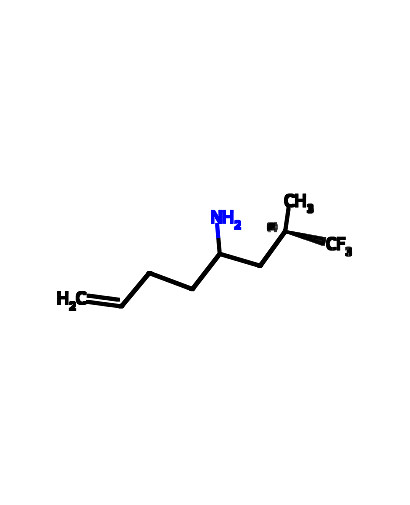 C=CCCC(N)C[C@@H](C)C(F)(F)F